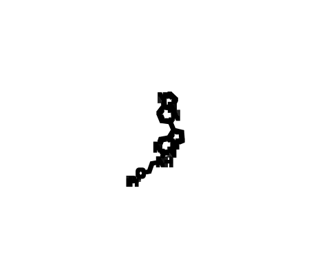 CC(C)OCCNc1ncc2c(-c3ccc4nccn4n3)ccn2n1